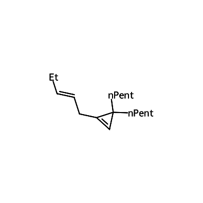 CCC=CCC1=CC1(CCCCC)CCCCC